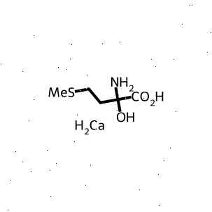 CSCCC(N)(O)C(=O)O.[CaH2]